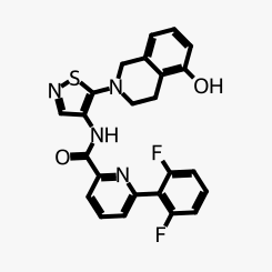 O=C(Nc1cnsc1N1CCc2c(O)cccc2C1)c1cccc(-c2c(F)cccc2F)n1